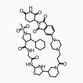 CS(=O)(=O)N1CC(C(=O)NCC(=O)NC2NC(C3CCCN(C(=O)CCN4CCN(c5ccc6c(c5)C(=O)N(C5CCC(=O)NC5=O)C6=O)CC4)C3)CS2)C(C2CCCCC2)C1